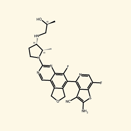 C[C@H](O)CN[C@H]1CCN(c2ncc3c4c(c(-c5ncc(F)c6sc(N)c(C#N)c56)c(F)c3n2)COC4)[C@H]1C